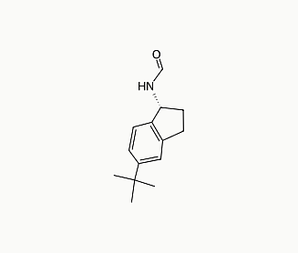 CC(C)(C)c1ccc2c(c1)CC[C@H]2NC=O